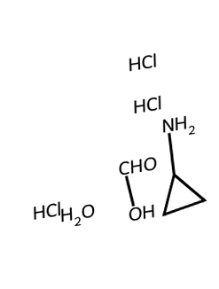 Cl.Cl.Cl.NC1CC1.O.O=CO